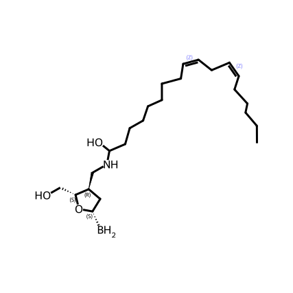 B[C@H]1C[C@H](CNC(O)CCCCCCC/C=C\C/C=C\CCCCC)[C@@H](CO)O1